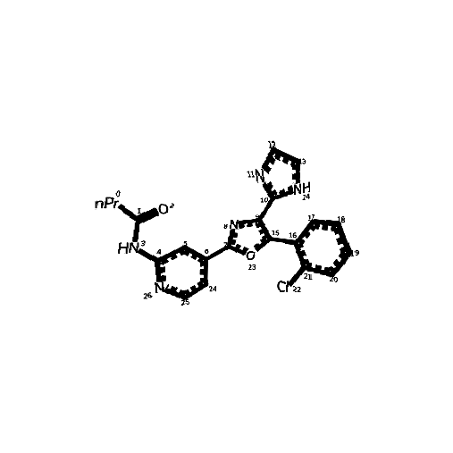 CCCC(=O)Nc1cc(-c2nc(-c3ncc[nH]3)c(-c3ccccc3Cl)o2)ccn1